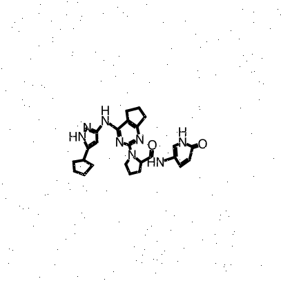 O=C(Nc1ccc(=O)[nH]c1)C1CCCN1c1nc2c(c(Nc3cc(C4CCCC4)[nH]n3)n1)CCC2